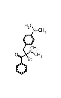 CCC(Cc1ccc(N(C)C)cc1)(C(=O)c1ccccc1)N(C)C